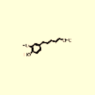 O=[C]CCCCCc1ccc(O)c(O)c1